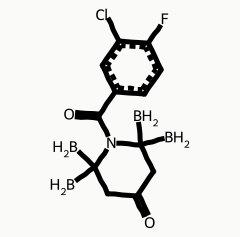 BC1(B)CC(=O)CC(B)(B)N1C(=O)c1ccc(F)c(Cl)c1